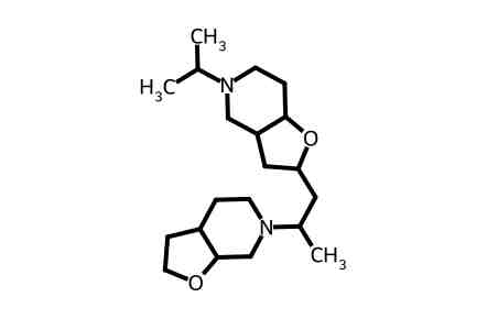 CC(C)N1CCC2OC(CC(C)N3CCC4CCOC4C3)CC2C1